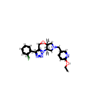 CCOc1ccc(CN2C[C@@H]3[C@@H](C2)OCc2c(-c4ccccc4F)nnn23)cn1